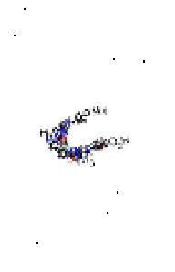 COCC12CCC(CCN3CCc4c(nc(C(=O)Nc5cccc(-c6cccc(NC(=O)c7nc8c(n7C)CCN(CCC79CCC(C(=O)O)(CC7)C9)C8)c6Cl)c5I)n4C)C3)(CC1)C2